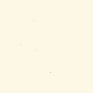 CCOc1cncc(-n2cnc(C(=O)OC)c2)n1